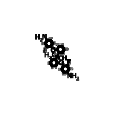 CC(C)(c1ccccc1Oc1ccc(N)cc1F)c1ccccc1Oc1ccc(N)cc1F